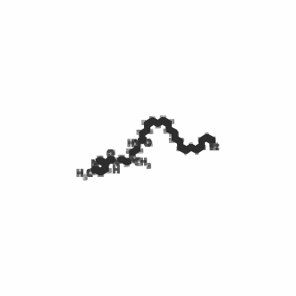 CC/C=C\C/C=C\C/C=C\CC=CC/C=C\C/C=C\CCC(=O)NCCN(C)CCNC(=O)c1ccc(C)nc1